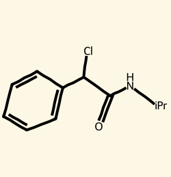 CC(C)NC(=O)C(Cl)c1ccccc1